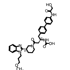 COCCCn1c([C@@H]2CCCN(C(=O)C[C@@H](Cc3ccc(-c4ccc(NC(=O)CO)cc4)cc3)NC(=O)O)C2)nc2ccccc21